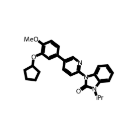 COc1ccc(-c2ccc(-n3c(=O)n(C(C)C)c4ccccc43)nc2)cc1OC1CCCC1